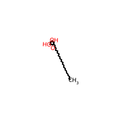 CCCCCCCCCCCCCCCCCCCCCCCC(=O)Cc1cc(O)cc(O)c1